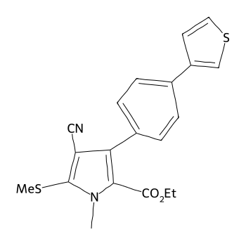 CCOC(=O)c1c(-c2ccc(-c3ccsc3)cc2)c(C#N)c(SC)n1C